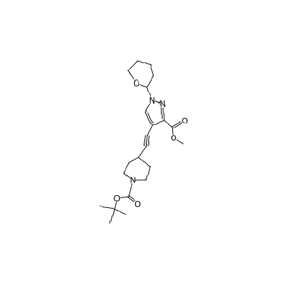 COC(=O)c1nn(C2CCCCO2)cc1C#CC1CCN(C(=O)OC(C)(C)C)CC1